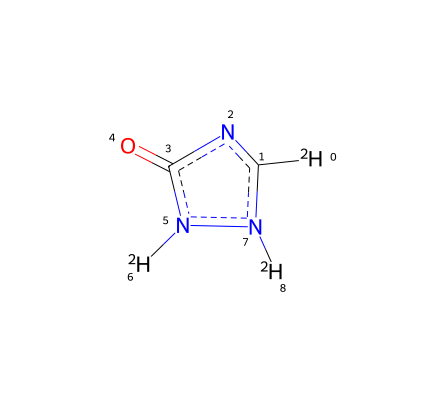 [2H]c1nc(=O)n([2H])n1[2H]